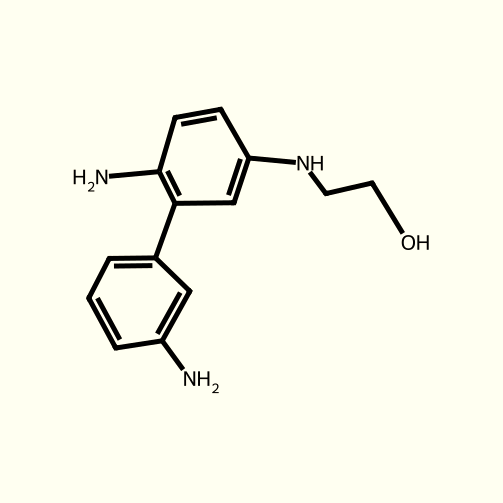 Nc1cccc(-c2cc(NCCO)ccc2N)c1